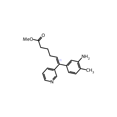 COC(=O)CCC/C=C(\c1cccnc1)c1ccc(C)c(N)c1